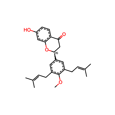 COc1c(CC=C(C)C)cc([C@@H]2CC(=O)c3ccc(O)cc3O2)cc1CC=C(C)C